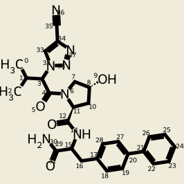 CC(C)C(C(=O)N1C[C@H](O)C[C@H]1C(=O)NC(Cc1ccc(-c2ccccc2)cc1)C(N)=O)n1cc(C#N)nn1